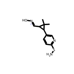 CC1(C)C(/C=N/O)C1c1ccc(SN)nc1